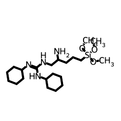 CO[Si](CCCC(N)CNC(=NC1CCCCC1)NC1CCCCC1)(OC)OC